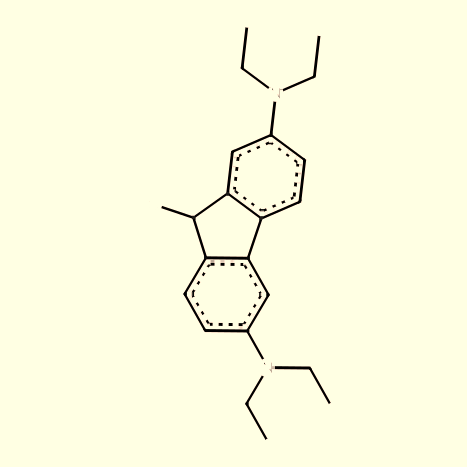 CCN(CC)c1ccc2c(c1)-c1ccc(N(CC)CC)cc1C2O